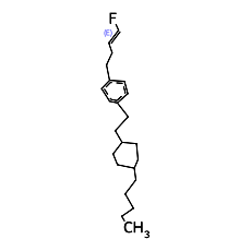 CCCCCC1CCC(CCc2ccc(CC/C=C/F)cc2)CC1